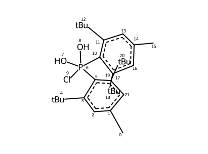 Cc1cc(C(C)(C)C)c(P(O)(O)(Cl)c2c(C(C)(C)C)cc(C)cc2C(C)(C)C)c(C(C)(C)C)c1